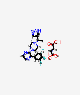 CC(c1cn[nH]c1)N1CCN(c2nccnc2-c2cc(F)c(F)c(F)c2)CC1.O=C(O)/C=C/C(=O)O